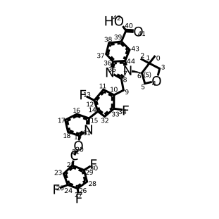 CC1(C)COC[C@H]1n1c(Cc2cc(F)c(-c3cccc(OCc4cc(F)c(F)cc4F)n3)cc2F)nc2ccc(C(=O)O)cc21